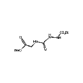 CCOC(=O)NNC(=O)NCC(=O)OC